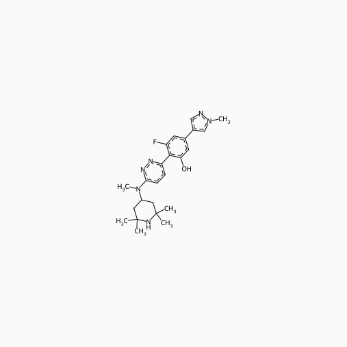 CN(c1ccc(-c2c(O)cc(-c3cnn(C)c3)cc2F)nn1)C1CC(C)(C)NC(C)(C)C1